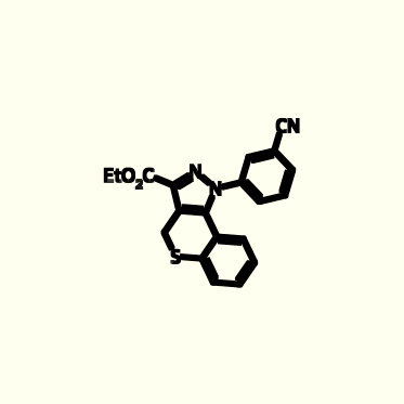 CCOC(=O)c1nn(-c2cccc(C#N)c2)c2c1CSc1ccccc1-2